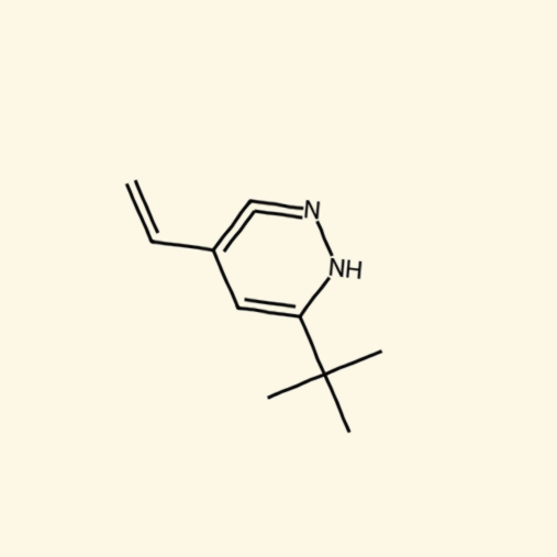 C=CC1=C=NNC(C(C)(C)C)=C1